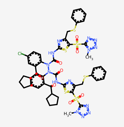 Cn1nnnc1S(=O)(=O)c1sc(NC(=O)N(c2ccccc2C(=O)C2CCCC2)N(C(=O)Nc2nc(CSc3ccccc3)c(S(=O)(=O)c3nnnn3C)s2)c2ccc(Cl)cc2C(=O)C2CCCC2)nc1CSc1ccccc1